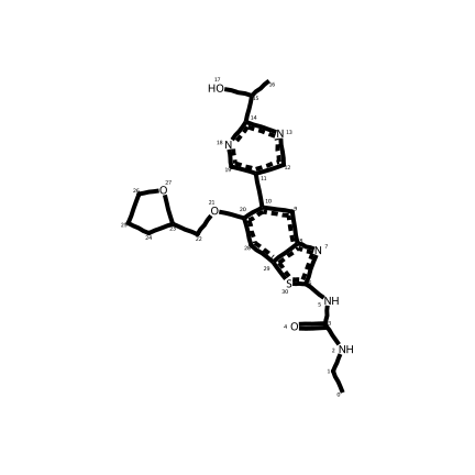 CCNC(=O)Nc1nc2cc(-c3cnc(C(C)O)nc3)c(OCC3CCCO3)cc2s1